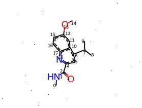 CNC(=O)c1cc(C(C)C)c2cc(OC)ccc2n1